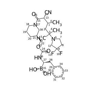 CC(CC(C)(C)N1CCC(F)(F)C1)C(C#N)C(=O)N1CCC[C@H](COC(=O)N[C@@H](Cc2ccccc2)B(O)O)C1